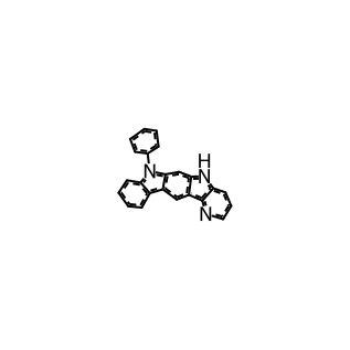 c1ccc(-n2c3ccccc3c3cc4c(cc32)[nH]c2cccnc24)cc1